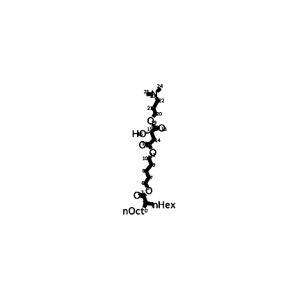 CCCCCCCCC(CCCCCC)C(=O)OCCCCCOC(=O)C[C@H](O)C(=O)OCCCN(C)C